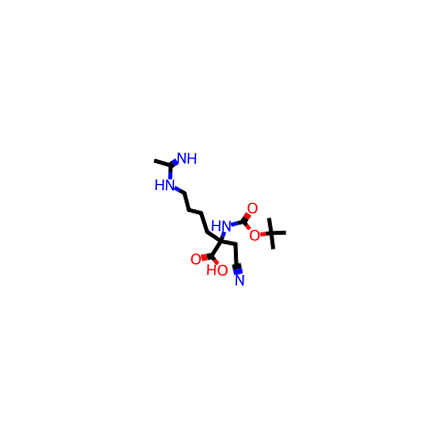 CC(=N)NCCCCC(CC#N)(NC(=O)OC(C)(C)C)C(=O)O